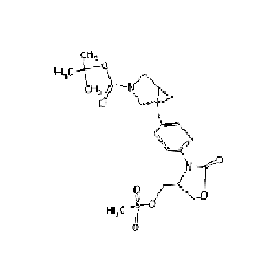 CC(C)(C)OC(=O)N1CC2CC2(c2ccc(N3C(=O)OCC3COS(C)(=O)=O)cc2)C1